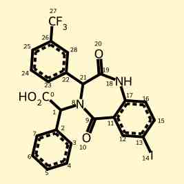 O=C(O)C(c1ccccc1)N1C(=O)c2cc(I)ccc2NC(=O)C1c1cccc(C(F)(F)F)c1